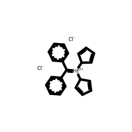 C1=C[CH]([Hf+2](=[C](c2ccccc2)c2ccccc2)[CH]2C=CC=C2)C=C1.[Cl-].[Cl-]